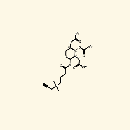 C#CC[N+](C)(C)CCCC(=O)OC1OC[C@@H](OC(=O)CCC)[C@H](OC(=O)CCC)[C@H]1OC(=O)CCC